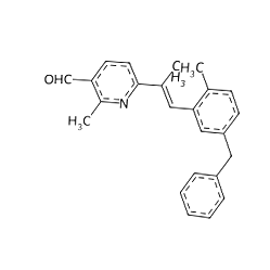 C/C(=C\c1cc(Cc2ccccc2)ccc1C)c1ccc(C=O)c(C)n1